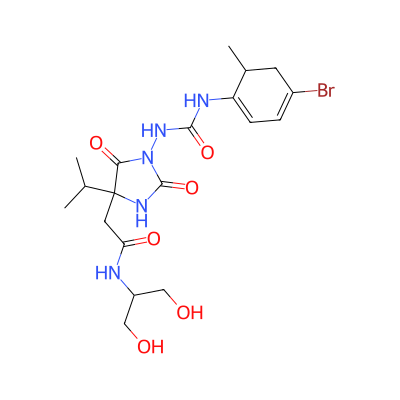 CC1CC(Br)=CC=C1NC(=O)NN1C(=O)NC(CC(=O)NC(CO)CO)(C(C)C)C1=O